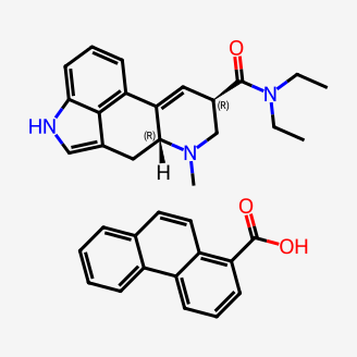 CCN(CC)C(=O)[C@@H]1C=C2c3cccc4[nH]cc(c34)C[C@H]2N(C)C1.O=C(O)c1cccc2c1ccc1ccccc12